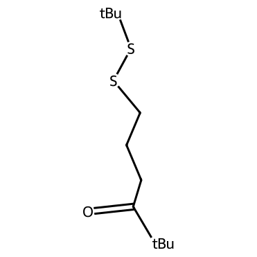 CC(C)(C)SSCCCC(=O)C(C)(C)C